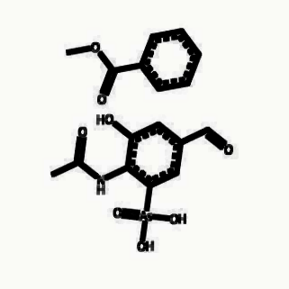 CC(=O)Nc1c(O)cc(C=O)cc1[As](=O)(O)O.COC(=O)c1ccccc1